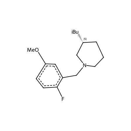 CCC(C)[C@@H]1CCCN(Cc2cc(OC)ccc2F)C1